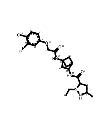 CCN1NC(C)CC1C(=O)NC1CC2(NC(=O)COc3ccc(Cl)c(F)c3)CC1C2